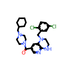 O=C(c1cnc2c(c1)N(Cc1cc(Cl)ccc1Cl)CCN2)N1CCN(CC2CCCCC2)CC1